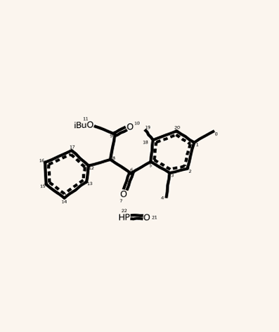 Cc1cc(C)c(C(=O)C(C(=O)OCC(C)C)c2ccccc2)c(C)c1.O=P